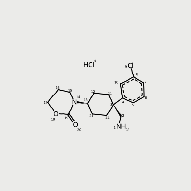 Cl.NC[C@]1(c2cccc(Cl)c2)CC[C@H](N2CCCOC2=O)CC1